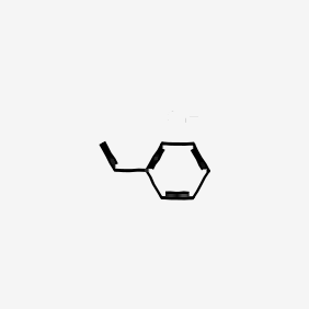 C=Cc1ccccc1.[CaH2]